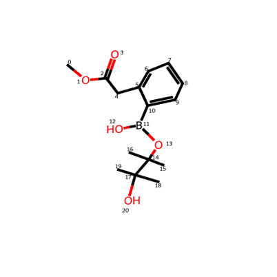 COC(=O)Cc1ccccc1B(O)OC(C)(C)C(C)(C)O